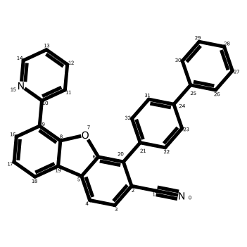 N#Cc1ccc2c(oc3c(-c4ccccn4)cccc32)c1-c1ccc(-c2ccccc2)cc1